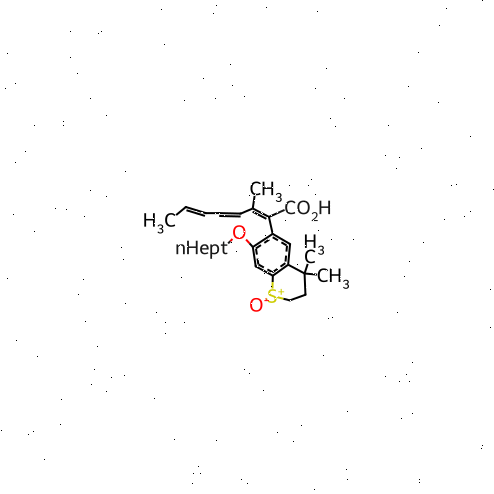 CC=CC=CC(C)=C(C(=O)O)c1cc2c(cc1OCCCCCCC)[S+]([O-])CCC2(C)C